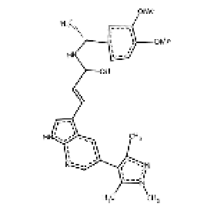 COc1ccc([C@@H](C)NC(O)/C=C/c2c[nH]c3ncc(-c4c(C)nn(C)c4C)cc23)cc1OC